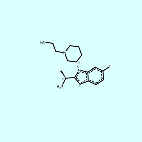 C[C@H](N)c1nc2ccc(F)cc2n1[C@H]1CCCN(CCO)C1